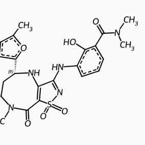 Cc1ccc([C@H]2CCN(C)C(=O)C3=C(N2)C(Nc2cccc(C(=O)N(C)C)c2O)=NS3(=O)=O)o1